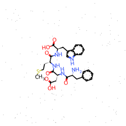 CSCC[C@@H](NC(=O)[C@@H](CC(=O)O)NC(=O)[C@H](N)Cc1ccccc1)C(=O)N[C@H](Cc1c[nH]c2ccccc12)C(=O)O